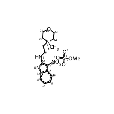 COS(=O)(=O)[O-].C[N+]1(CCNc2nn3ccccc3c2[N+](=O)[O-])CCOCC1